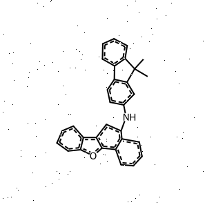 CC1(C)c2ccccc2-c2ccc(Nc3cc4c5ccccc5oc4c4ccccc34)cc21